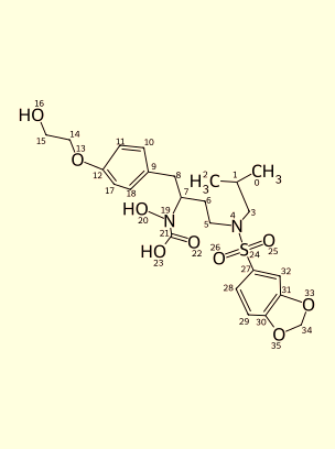 CC(C)CN(CCC(Cc1ccc(OCCO)cc1)N(O)C(=O)O)S(=O)(=O)c1ccc2c(c1)OCO2